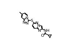 Cc1ccn2c(Sc3ccc4nc(NC(=O)C5CC5)cn4n3)nnc2c1